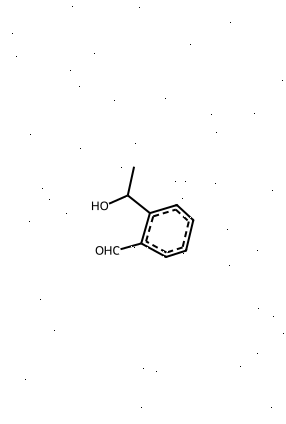 CC(O)c1ccccc1C=O